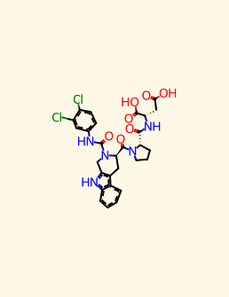 O=C(O)C[C@H](NC(=O)[C@@H]1CCCN1C(=O)[C@H]1Cc2c([nH]c3ccccc23)CN1C(=O)Nc1ccc(Cl)c(Cl)c1)C(=O)O